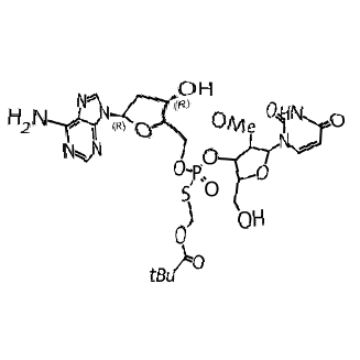 COC1C(OP(=O)(OCC2O[C@@H](n3cnc4c(N)ncnc43)C[C@H]2O)SCOC(=O)C(C)(C)C)C(CO)OC1n1ccc(=O)[nH]c1=O